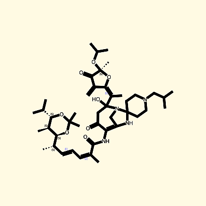 C=C1C(=O)[C@@](C)(OC(C)C)O/C1=C(\C)C1(O)CC(=O)C(NC(=O)/C(C)=C\C=C\[C@H](C)[C@@H]2OC(C)(C)O[C@@H](C(C)C)[C@@H]2C)=C2CN1C1(CCN(CC(C)C)CC1)N2